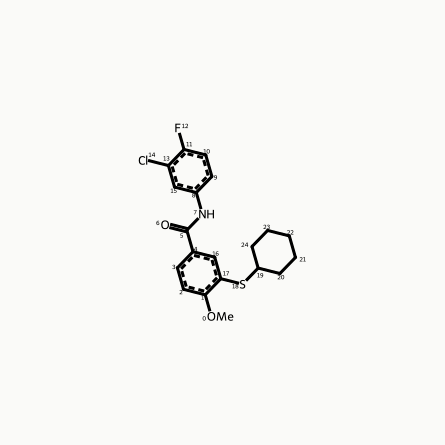 COc1ccc(C(=O)Nc2ccc(F)c(Cl)c2)cc1SC1CCCCC1